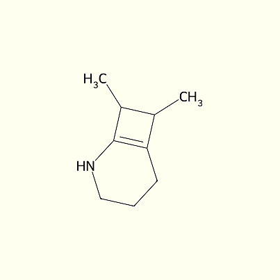 CC1C2=C(NCCC2)C1C